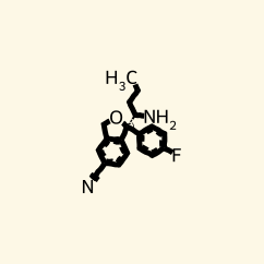 CCCC(N)[C@@]1(c2ccc(F)cc2)OCc2cc(C#N)ccc21